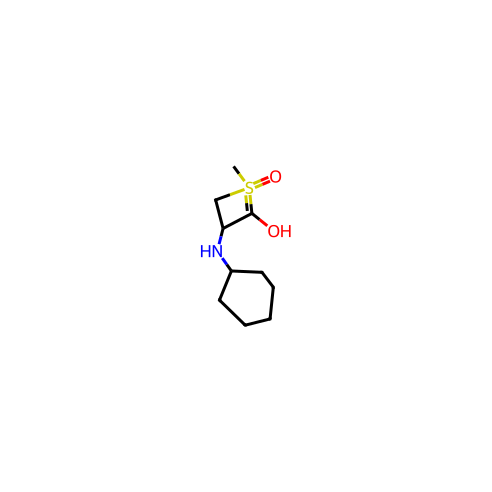 CS1(=O)=C(O)C(NC2CCCCC2)C1